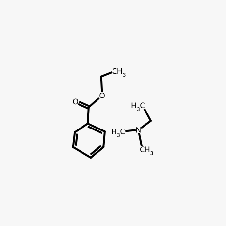 CCN(C)C.CCOC(=O)c1ccccc1